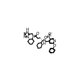 O=C(CC[C@H](NCc1cc(Oc2ccccc2)ncc1[N+](=O)[O-])C1CCCCC1)N(Cc1nnn[nH]1)C1CCCCC1